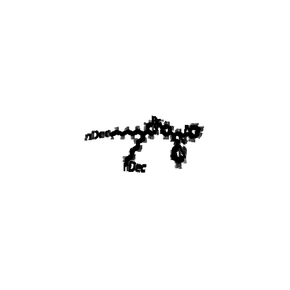 CCCCCCCCCCCCCCCCC(CCCCCCCCCCCCCCCC)c1cc[n+](Cc2ccc(-c3cc(-c4ccccn4)nc(-c4ccccn4)c3)cc2)cc1.[Br-]